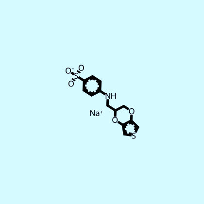 O=S(=O)([O-])c1ccc(NCC2COc3cscc3O2)cc1.[Na+]